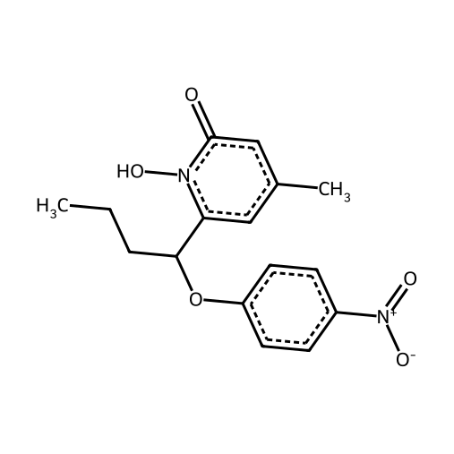 CCCC(Oc1ccc([N+](=O)[O-])cc1)c1cc(C)cc(=O)n1O